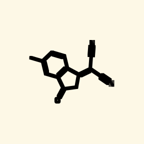 Cc1ccc2c(c1)C(=O)CC2=C(C#N)C#N